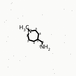 CN1CCCC(CN)CC1